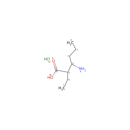 CCCC(N)C(CC)C(=O)O.Cl